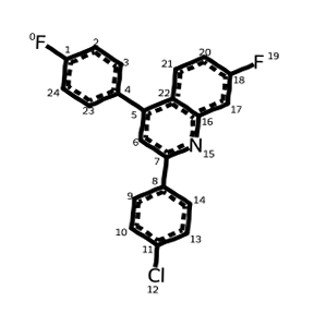 Fc1ccc(-c2cc(-c3ccc(Cl)cc3)nc3cc(F)ccc23)cc1